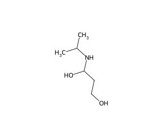 CC(C)NC(O)CCO